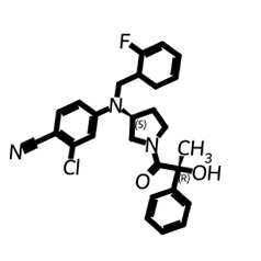 C[C@](O)(C(=O)N1CC[C@H](N(CC2CC=CC=C2F)c2ccc(C#N)c(Cl)c2)C1)c1ccccc1